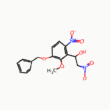 COc1c(OCc2ccccc2)ccc([N+](=O)[O-])c1C(O)C[N+](=O)[O-]